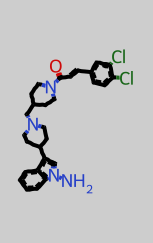 Nn1cc(C2CCN(CC3CCN(C(=O)C=Cc4ccc(Cl)c(Cl)c4)CC3)CC2)c2ccccc21